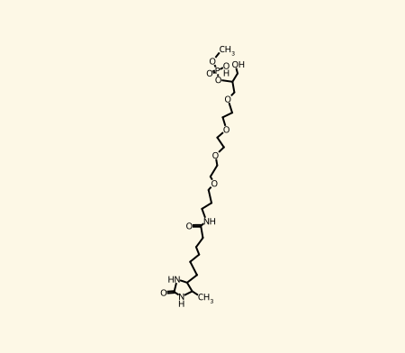 COP(=O)(O)OC(CO)COCCOCCOCCOCCCNC(=O)CCCCCC1NC(=O)NC1C